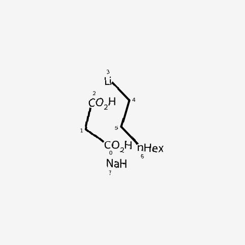 O=C(O)CC(=O)O.[Li][CH2]CCCCCCC.[NaH]